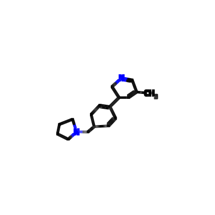 CC1=CC(C2=CCC(CN3CCCC3)C=C2)CN=C1